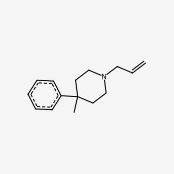 C=CCN1CCC(C)(c2ccccc2)CC1